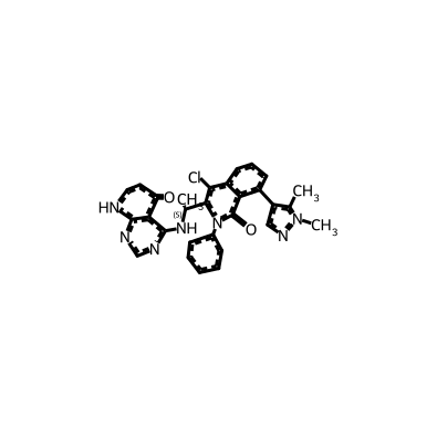 Cc1c(-c2cccc3c(Cl)c([C@H](C)Nc4ncnc5[nH]ccc(=O)c45)n(-c4ccccc4)c(=O)c23)cnn1C